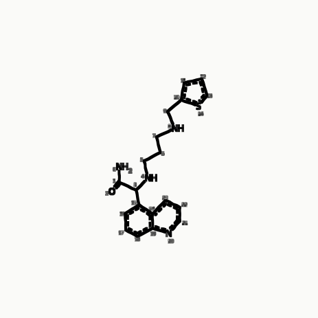 NC(=O)C(NCCCNCc1cccs1)c1cccc2ncccc12